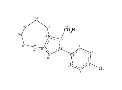 O=C(O)c1c(-c2ccc(Cl)cc2)nc2n1CCCCCC2